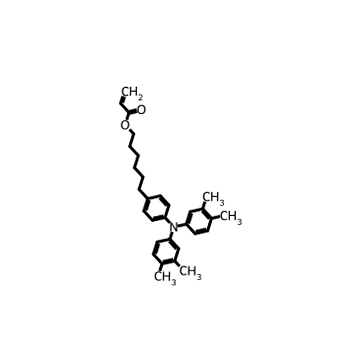 C=CC(=O)OCCCCCCc1ccc(N(c2ccc(C)c(C)c2)c2ccc(C)c(C)c2)cc1